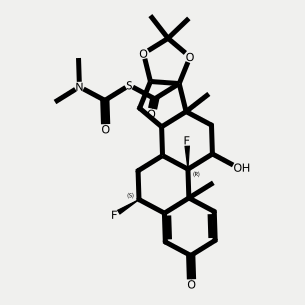 CN(C)C(=O)SC(=O)C12OC(C)(C)OC1CC1C3C[C@H](F)C4=CC(=O)C=CC4(C)[C@@]3(F)C(O)CC12C